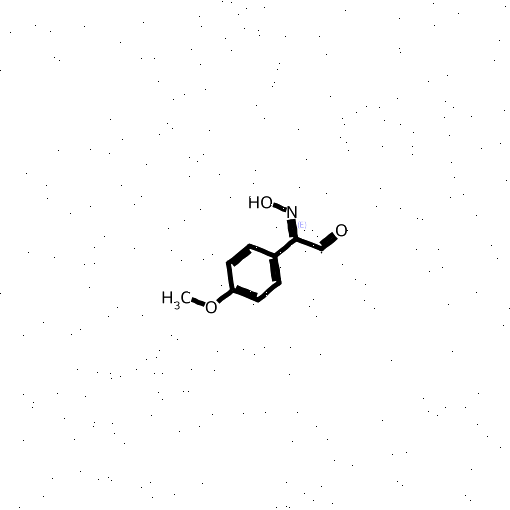 COc1ccc(/C([C]=O)=N\O)cc1